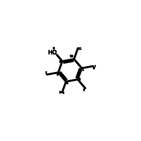 [CH]c1c(C)c([CH])c(C)c(O)c1C